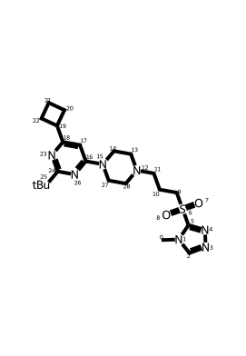 Cn1cnnc1S(=O)(=O)CCCN1CCN(c2cc(C3CCC3)nc(C(C)(C)C)n2)CC1